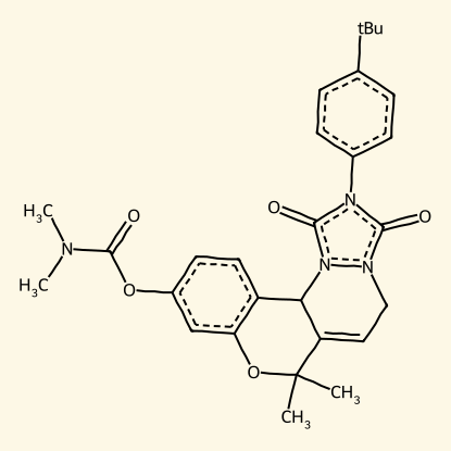 CN(C)C(=O)Oc1ccc2c(c1)OC(C)(C)C1=CCn3c(=O)n(-c4ccc(C(C)(C)C)cc4)c(=O)n3C12